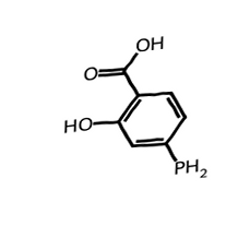 O=C(O)c1ccc(P)cc1O